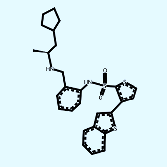 C[C@@H](CC1CCCC1)NCc1ccccc1NS(=O)(=O)c1sccc1-c1cc2ccccc2s1